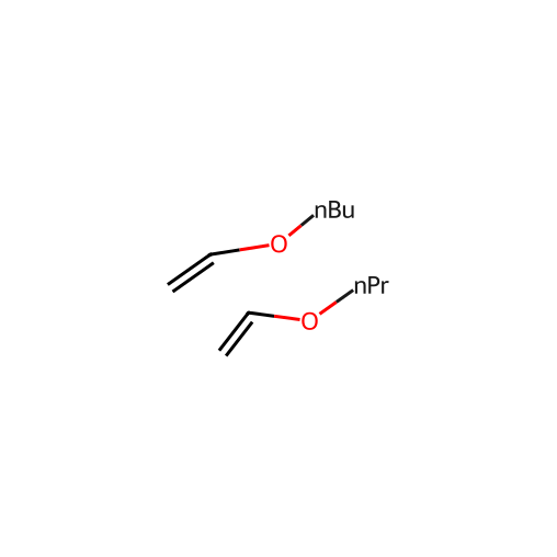 C=COCCC.C=COCCCC